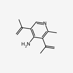 C=C(C)c1cnc(C)c(C(=C)C)c1N